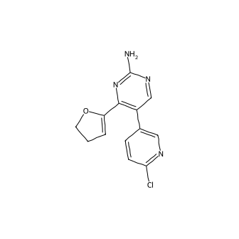 Nc1ncc(-c2ccc(Cl)nc2)c(C2=CCCO2)n1